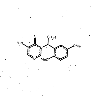 COc1ccc(OC)c(C(C(=O)O)n2cncc(N)c2=O)c1